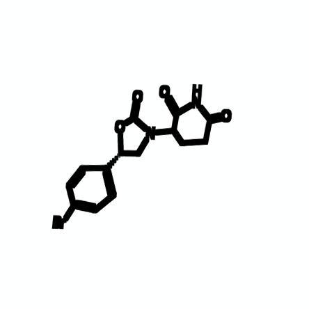 O=C1CCC(N2C[C@H](c3ccc(Br)cc3)OC2=O)C(=O)N1